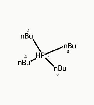 CCCC[PH](CCCC)(CCCC)CCCC